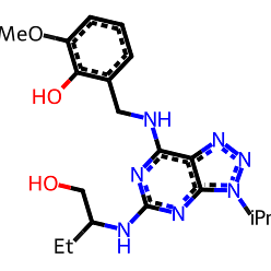 CCC(CO)Nc1nc(NCc2cccc(OC)c2O)c2nnn(C(C)C)c2n1